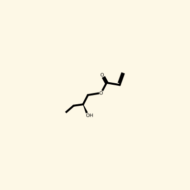 C=CC(=O)OC[C@@H](O)CC